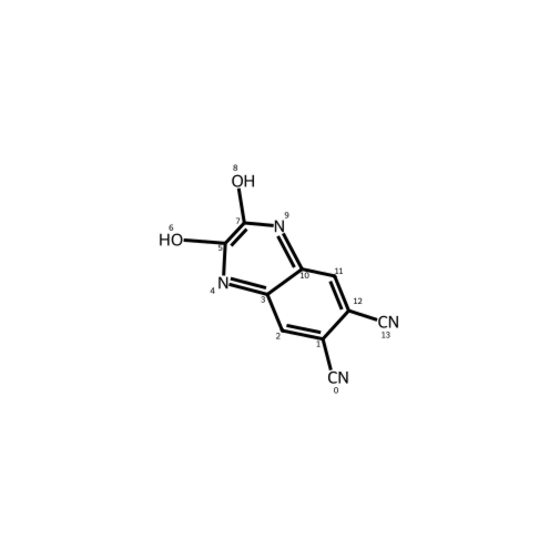 N#Cc1cc2nc(O)c(O)nc2cc1C#N